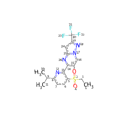 CCS(=O)(=O)c1ccc(C(C)C)nc1-c1ccn2nc(C(F)(F)F)cc2n1